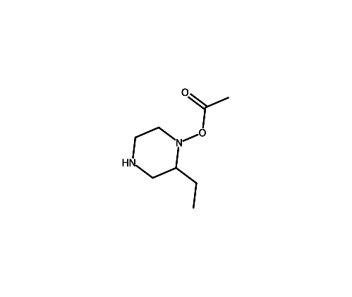 CCC1CNCCN1OC(C)=O